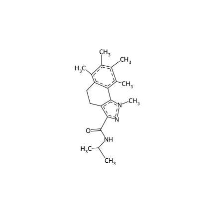 Cc1c(C)c(C)c2c(c1C)CCc1c(C(=O)NC(C)C)nn(C)c1-2